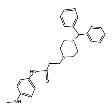 CNc1ccc(NC(=O)CCN2CCN(C(c3ccccc3)c3ccccc3)CC2)cc1